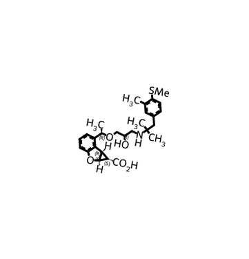 CSc1ccc(CC(C)(C)NC[C@@H](O)CO[C@H](C)c2cccc3c2[C@@H]2[C@H](O3)[C@H]2C(=O)O)cc1C